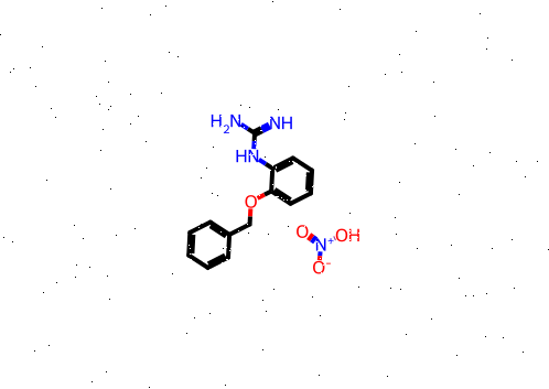 N=C(N)Nc1ccccc1OCc1ccccc1.O=[N+]([O-])O